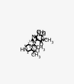 CC(Cl)C1CNCCN1C(C)n1cnc2c1c(=O)n(C)c(=O)n2C